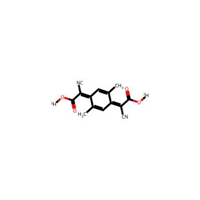 [2H]OC(=O)/C(C#N)=c1/cc(C)/c(=C(/[N+]#[C-])C(=O)O[2H])cc1C